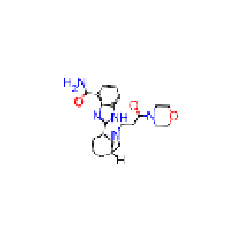 NC(=O)c1cccc2[nH]c([C@@]34CCC[C@@H](CN3CCC(=O)N3CCOCC3)C4)nc12